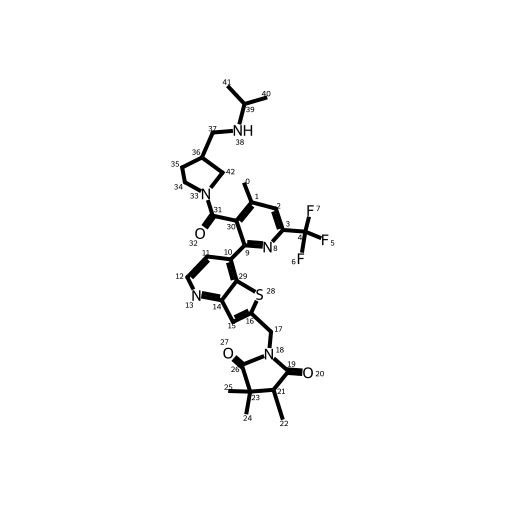 Cc1cc(C(F)(F)F)nc(-c2ccnc3cc(CN4C(=O)C(C)C(C)(C)C4=O)sc23)c1C(=O)N1CCC(CNC(C)C)C1